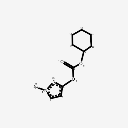 [2H]n1ccc(OC(=O)OC2CCCCC2)n1